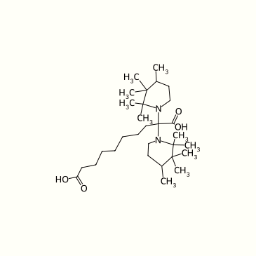 CC1CCN(C(CCCCCCCC(=O)O)(C(=O)O)N2CCC(C)C(C)(C)C2(C)C)C(C)(C)C1(C)C